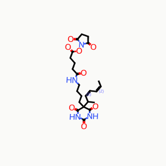 C/C=C\C=C/C(C)C1(CCCCNC(=O)CCCC(=O)ON2C(=O)CCC2=O)C(=O)NC(=O)NC1=O